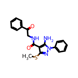 CSc1nn(-c2ccccc2)c(N)c1C(=O)NCC(=O)c1ccccc1